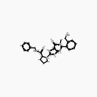 Cn1c(-c2ccccc2CO)nc2sc(N3CCCC3C(=O)NCc3ccccc3)nc2c1=O